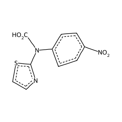 O=C(O)N(c1ccc([N+](=O)[O-])cc1)c1nccs1